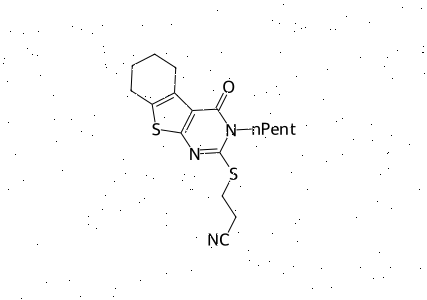 CCCCCn1c(SCCC#N)nc2sc3c(c2c1=O)CCCC3